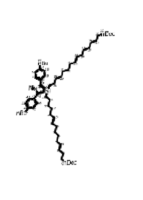 CCCCCCCCCCCCCCCCCCCCCCCC[CH2][Ni][CH2]CCCCCCCCCCCCCCCCCCCCCCCC.CCCCc1ccc(C2=CC=C(c3ccc(CCCC)cc3)[N+]2=[N-])cc1